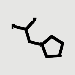 FC(F)CN1C[CH]CC1